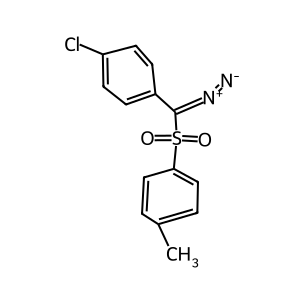 Cc1ccc(S(=O)(=O)C(=[N+]=[N-])c2ccc(Cl)cc2)cc1